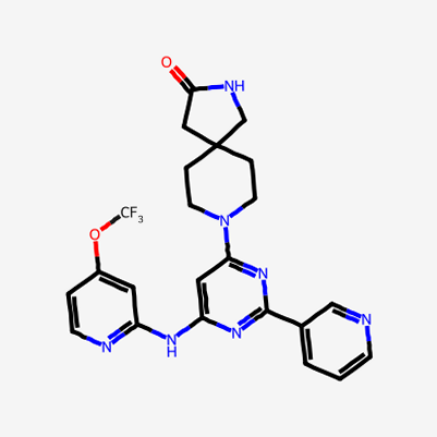 O=C1CC2(CCN(c3cc(Nc4cc(OC(F)(F)F)ccn4)nc(-c4cccnc4)n3)CC2)CN1